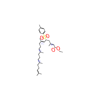 CCOC(=O)/C=C(\C)CC(/C=C(\C)CC/C=C(\C)CC/C=C(\C)CCC=C(C)C)S(=O)(=O)c1ccc(C)cc1